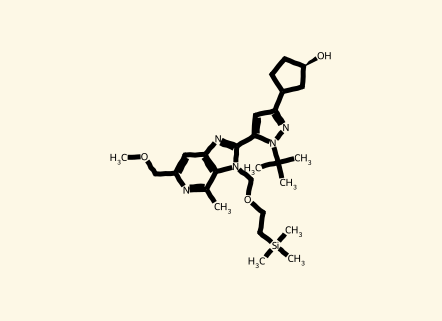 COCc1cc2nc(-c3cc(C4CC[C@@H](O)C4)nn3C(C)(C)C)n(COCC[Si](C)(C)C)c2c(C)n1